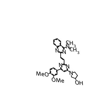 COc1ccc(-c2cc(N3CCC(O)C3)nc(/C=C/c3nc(N(C)C)c4ccccc4n3)n2)cc1OC